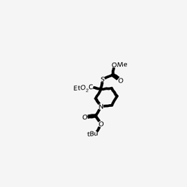 CCOC(=O)C1(SC(=O)OC)CCCN(C(=O)OC(C)(C)C)C1